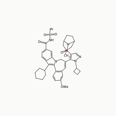 COc1ccc2c(c1)C=C(c1c(C(=O)N3C4CCC3CN(C)C4)cnn1C1CCC1)Cn1c-2c(C2CCCCC2)c2ccc(C(=O)NS(=O)(=O)C(C)C)cc21